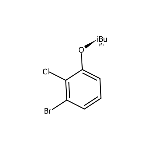 [CH2]C[C@H](C)Oc1cccc(Br)c1Cl